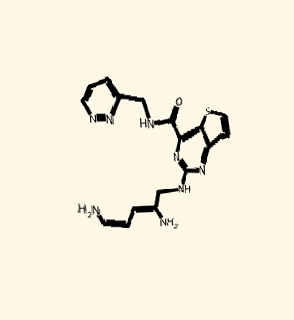 N/C=C\C=C(/N)CNc1nc(C(=O)NCc2cccnn2)c2sccc2n1